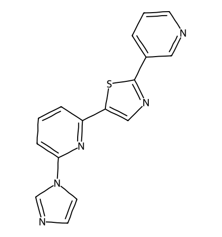 c1cncc(-c2ncc(-c3cccc(-n4ccnc4)n3)s2)c1